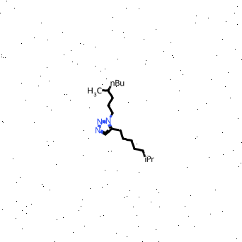 CCCCC(C)CCCn1nncc1CCCCCC(C)C